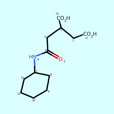 O=C(O)CC(CC(=O)NC1CCCCC1)C(=O)O